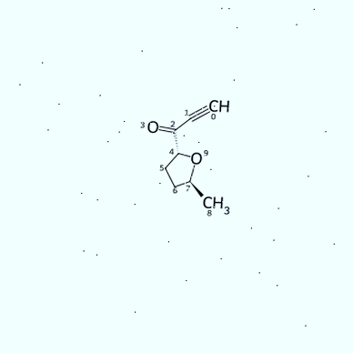 C#CC(=O)[C@H]1CC[C@H](C)O1